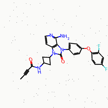 CC#CC(=O)NC1CC(n2c(=O)n(-c3ccc(Oc4ccc(F)cc4F)cc3)c3c(N)nccc32)C1